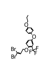 CCCOc1ccc(Oc2ccc(OCC=C(Br)Br)c(C(F)(F)F)c2)cc1